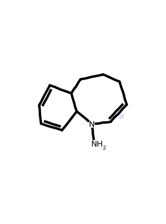 NN1/C=C\CCCC2C=CC=CC21